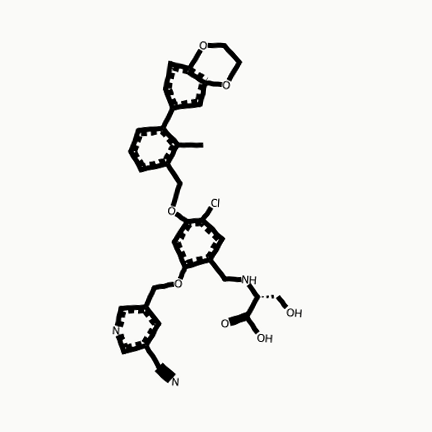 Cc1c(COc2cc(OCc3cncc(C#N)c3)c(CN[C@H](CO)C(=O)O)cc2Cl)cccc1-c1ccc2c(c1)OCCO2